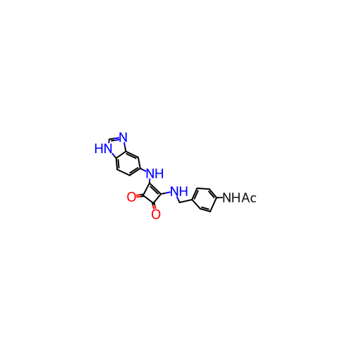 CC(=O)Nc1ccc(CNc2c(Nc3ccc4[nH]cnc4c3)c(=O)c2=O)cc1